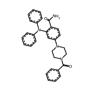 NC(=O)c1ccc(N2CCN(C(=O)c3ccccc3)CC2)cc1N(c1ccccc1)c1ccccc1